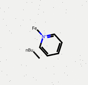 CCCCC.[Fe][n+]1ccccc1